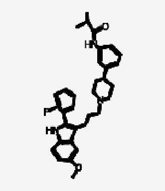 COc1ccc2[nH]c(-c3ccccc3F)c(CCCN3CCC(c4cccc(NC(=O)C(C)C)c4)CC3)c2c1